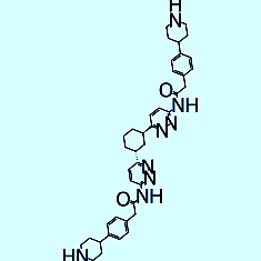 O=C(Cc1ccc(C2CCNCC2)cc1)Nc1ccc([C@@H]2CCC[C@@H](c3ccc(NC(=O)Cc4ccc(C5CCNCC5)cc4)nn3)C2)nn1